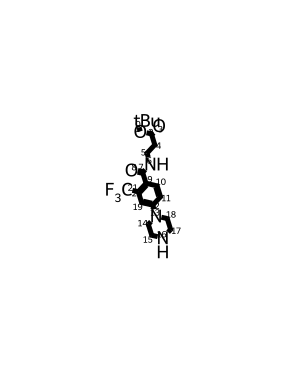 CC(C)(C)OC(=O)CCNC(=O)c1ccc(N2CCNCC2)cc1C(F)(F)F